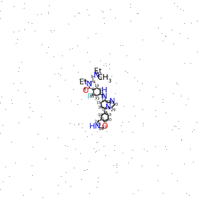 CCN(C)CCN(CC)C(=O)c1ccc(Nc2ccc(-c3ccc4c(c3)CNCO4)n3ccnc23)cc1F